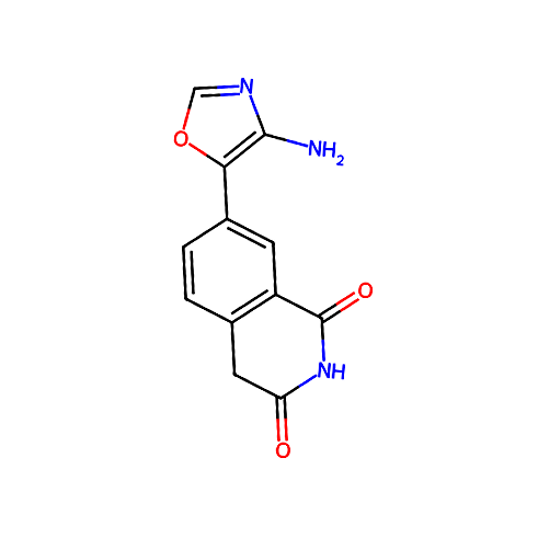 Nc1ncoc1-c1ccc2c(c1)C(=O)NC(=O)C2